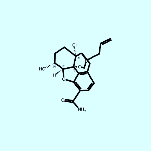 C=CCN1CC[C@]23c4c5ccc(C(N)=O)c4O[C@H]2[C@H](O)CC[C@@]3(O)C1C5